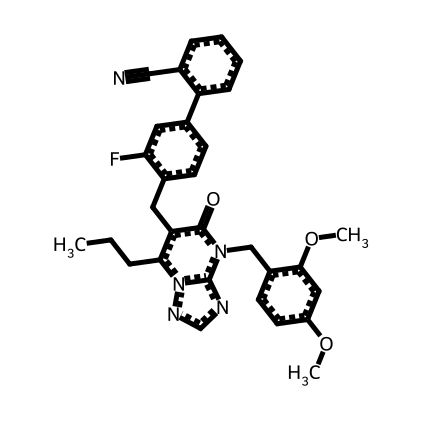 CCCc1c(Cc2ccc(-c3ccccc3C#N)cc2F)c(=O)n(Cc2ccc(OC)cc2OC)c2ncnn12